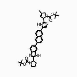 CC1=CC(c2ncc(-c3ccc4cc(-c5ccc6nc(C7CCCN7C(=O)OC(C)(C)C)[nH]c6c5)ccc4c3)[nH]2)N(C(=O)OC(C)(C)C)C1